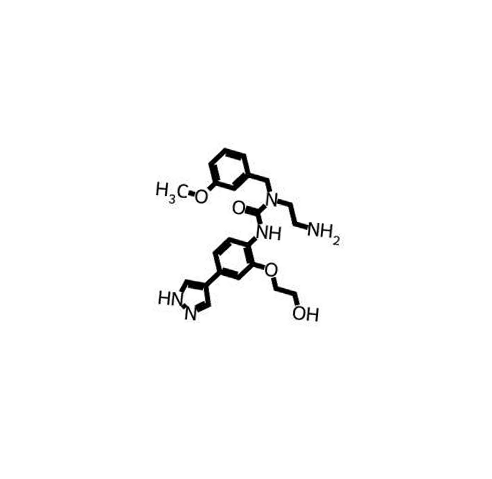 COc1cccc(CN(CCN)C(=O)Nc2ccc(-c3cn[nH]c3)cc2OCCO)c1